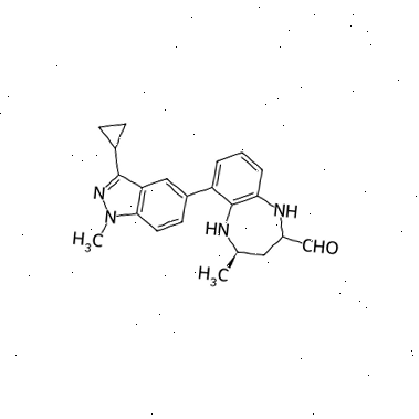 C[C@@H]1CC(C=O)Nc2cccc(-c3ccc4c(c3)c(C3CC3)nn4C)c2N1